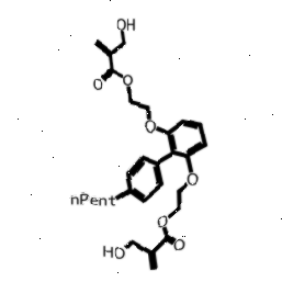 C=C(CO)C(=O)OCCOc1cccc(OCCOC(=O)C(=C)CO)c1-c1ccc(CCCCC)cc1